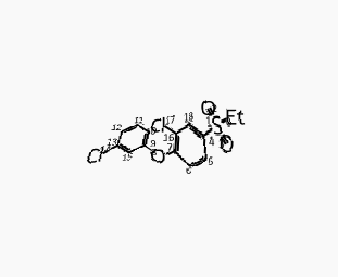 CCS(=O)(=O)c1ccc(Oc2c[c]cc(Cl)c2)c(Cl)c1